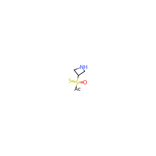 CC(=O)S(=O)(=S)C1CNC1